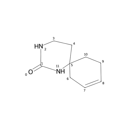 O=C1NCCC2(CC=CCC2)N1